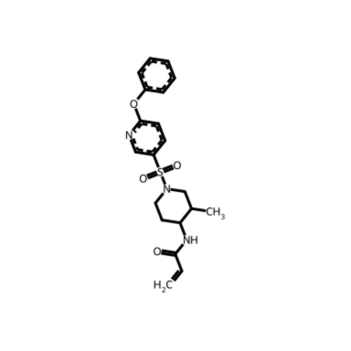 C=CC(=O)NC1CCN(S(=O)(=O)c2ccc(Oc3ccccc3)nc2)CC1C